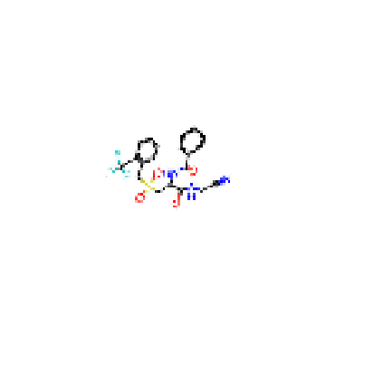 N#CCNC(=O)C(CS(=O)(=O)Cc1ccccc1C(F)(F)F)NC(=O)c1ccccc1